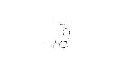 CCN(C)[C@H]1CC[C@@H](Nc2cc(C(C)C(C)C)ncn2)CC1